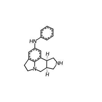 c1ccc(Nc2cc3c4c(c2)[C@H]2CNC[C@H]2CN4CC3)cc1